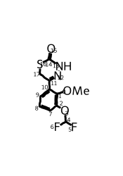 COc1c(OC(F)F)cccc1C1=NNC(=O)SC1